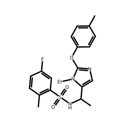 CCn1c(C(C)NS(=O)(=O)c2cc(F)ccc2C)cnc1Oc1ccc(C)cc1